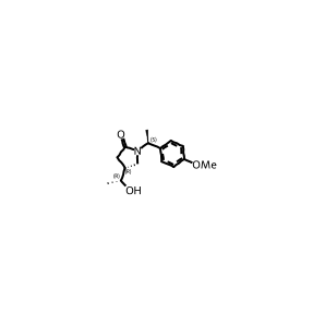 COc1ccc([C@H](C)N2C[C@H]([C@@H](C)O)CC2=O)cc1